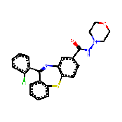 O=C(NN1CCOCC1)c1ccc2c(c1)N=C(c1ccccc1Cl)c1ccccc1S2